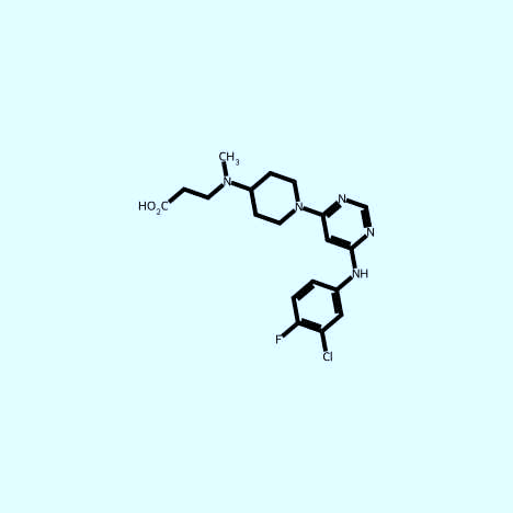 CN(CCC(=O)O)C1CCN(c2cc(Nc3ccc(F)c(Cl)c3)ncn2)CC1